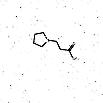 CNC(=O)CCN1CCCC1